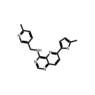 Cc1ccc(CNc2ncnc3ccc(-c4ccc(C)s4)nc23)cn1